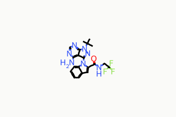 CC(C)(C)n1nc(-n2c(C(=O)NCC(F)(F)F)cc3ccccc32)c2c(N)ncnc21